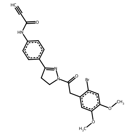 C#CC(=O)Nc1ccc(C2=NN(C(=O)Cc3cc(OC)c(OC)cc3Br)CC2)cc1